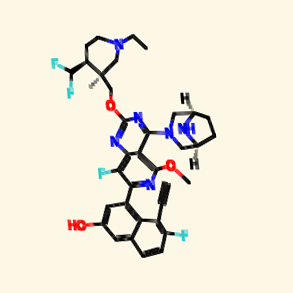 C#Cc1c(F)ccc2cc(O)cc(-c3nc(OC)c4c(N5C[C@H]6CC[C@@H](C5)N6)nc(OC[C@]5(C)CN(CC)CC[C@@H]5C(F)F)nc4c3F)c12